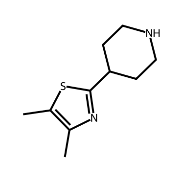 Cc1nc(C2CCNCC2)sc1C